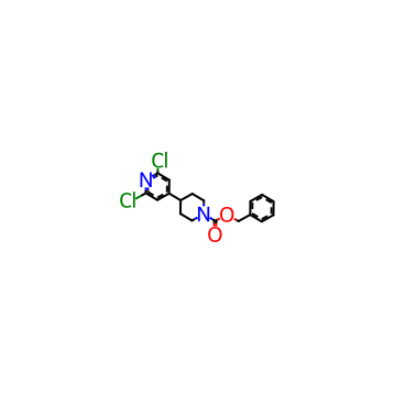 O=C(OCc1ccccc1)N1CCC(c2cc(Cl)nc(Cl)c2)CC1